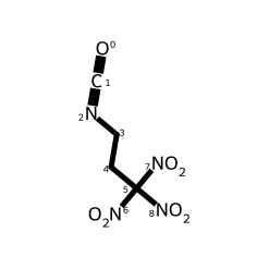 O=C=NCCC([N+](=O)[O-])([N+](=O)[O-])[N+](=O)[O-]